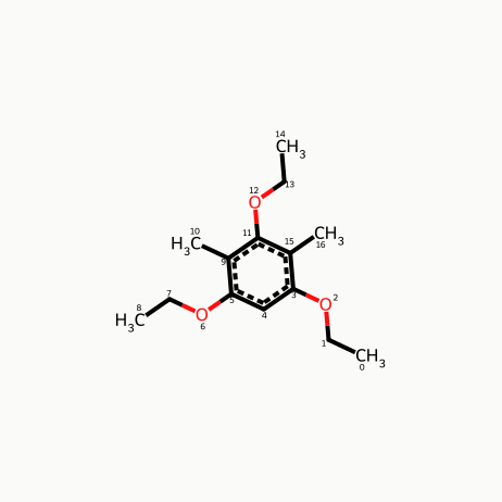 CCOc1cc(OCC)c(C)c(OCC)c1C